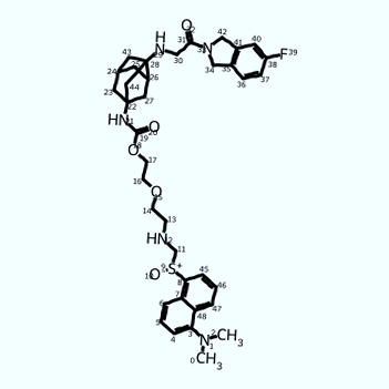 CN(C)c1cccc2c([S+]([O-])CNCCOCCOC(=O)NC34CC5CC(C3)C(NCC(=O)N3Cc6ccc(F)cc6C3)(C5)C4)cccc12